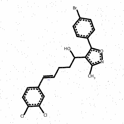 Cc1noc(-c2ccc(Br)cc2)c1C(O)CC/C=C/c1ccc(Cl)c(Cl)c1